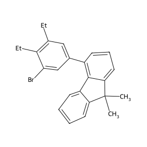 CCc1cc(-c2cccc3c2-c2ccccc2C3(C)C)cc(Br)c1CC